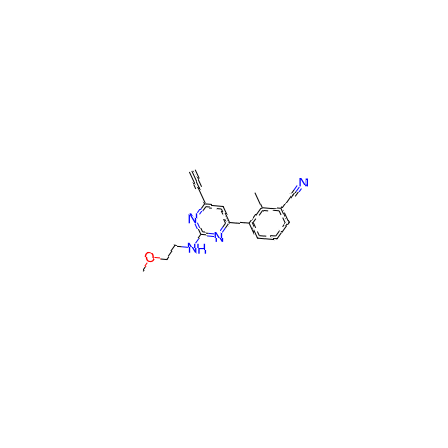 C#Cc1cc(-c2cccc(C#N)c2C)nc(NCCOC)n1